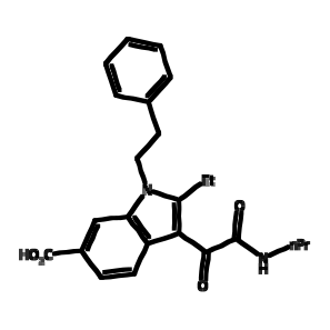 CCCNC(=O)C(=O)c1c(CC)n(CCc2ccccc2)c2cc(C(=O)O)ccc12